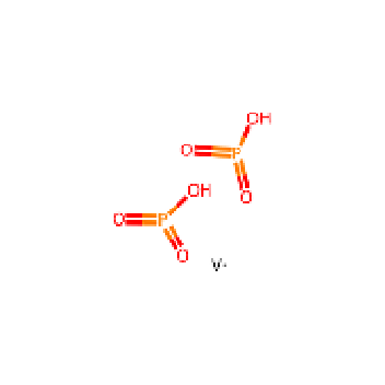 O=P(=O)O.O=P(=O)O.[V]